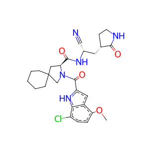 COc1ccc(Cl)c2[nH]c(C(=O)N3CC4(CCCCC4)C[C@H]3C(=O)N[C@H](C#N)C[C@@H]3CCNC3=O)cc12